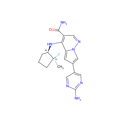 C[C@]1(F)CCC[C@H]1Nc1c(C(N)=O)cnn2cc(-c3cnc(N)nc3)cc12